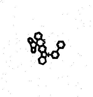 C1=Cc2c(n(-c3cccc(-c4ccccc4)c3)c3cc4c(cc23)C2(c3ccccc3S4)c3ccccc3-c3ccccc32)CC1